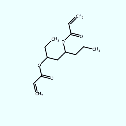 C=CC(=O)OC(CC)CC(CCC)OC(=O)C=C